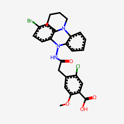 COc1cc(CC(=O)NN(c2ccc(Br)cc2)c2ccccc2N2CCCCC2)c(Cl)cc1C(=O)O